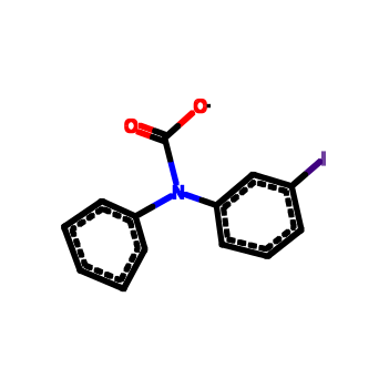 [O]C(=O)N(c1ccccc1)c1cccc(I)c1